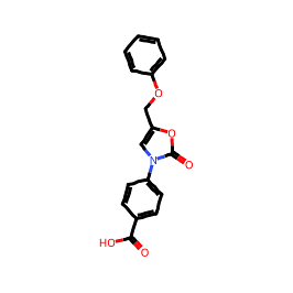 O=C(O)c1ccc(-n2cc(COc3ccccc3)oc2=O)cc1